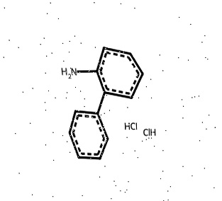 Cl.Cl.Nc1ccccc1-c1ccccc1